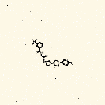 COc1ccc(N2CCC(N3CCC(NC(=O)CNC(=O)c4cccc(C(F)(F)F)c4)C3)CC2)cn1